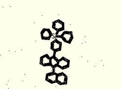 c1ccc([Si](c2ccccc2)(c2ccccc2)c2ccc(-c3c4ccccc4c(-c4cccc5ccccc45)c4ccccc34)cc2)cc1